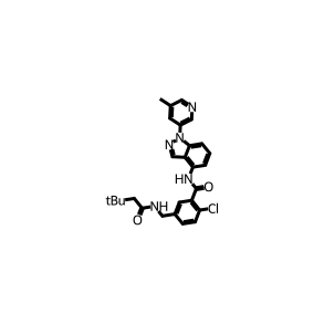 Cc1cncc(-n2ncc3c(NC(=O)c4cc(CNC(=O)CC(C)(C)C)ccc4Cl)cccc32)c1